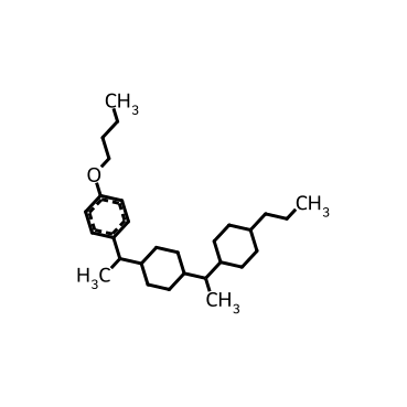 CCCCOc1ccc(C(C)C2CCC(C(C)C3CCC(CCC)CC3)CC2)cc1